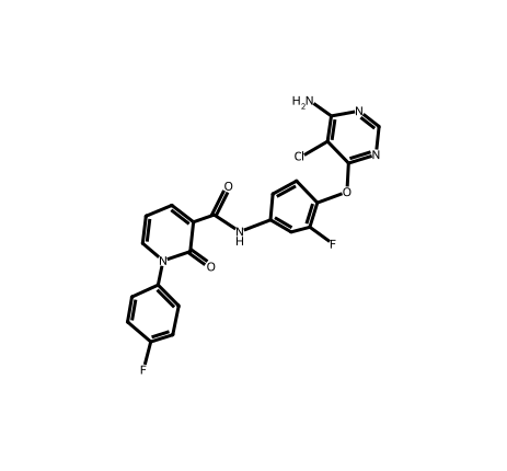 Nc1ncnc(Oc2ccc(NC(=O)c3cccn(-c4ccc(F)cc4)c3=O)cc2F)c1Cl